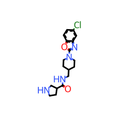 O=C(NCC1CCN(c2nc3cc(Cl)ccc3o2)CC1)C1CCNC1